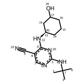 CC(C)(C)Nc1ncc(C#N)c(N[C@@H]2CCCC(O)C2)n1